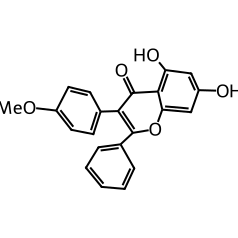 COc1ccc(-c2c(-c3ccccc3)oc3cc(O)cc(O)c3c2=O)cc1